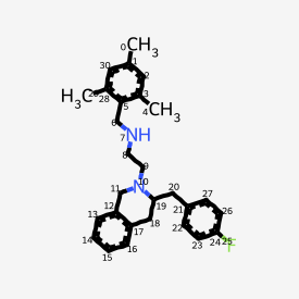 Cc1cc(C)c(CNCCN2Cc3ccccc3CC2Cc2ccc(F)cc2)c(C)c1